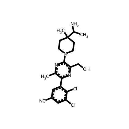 Cc1nc(N2CCC(C)(C(C)N)CC2)c(CO)nc1-c1cc(C#N)cc(Cl)c1Cl